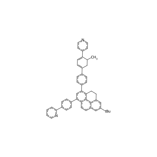 CC1CC(c2ccc(-c3cc(-c4ccc(-c5ccccn5)cc4)c4ccc5cc(C(C)(C)C)cc6c5c4c3CC6)cc2)=CC=C1c1ccncc1